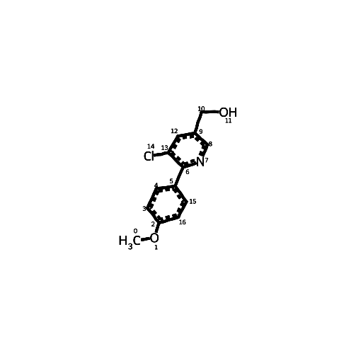 COc1ccc(-c2ncc(CO)cc2Cl)cc1